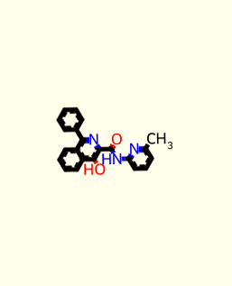 Cc1cccc(NC(=O)c2nc(-c3ccccc3)c3ccccc3c2O)n1